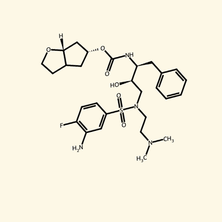 CN(C)CCN(C[C@@H](O)[C@H](Cc1ccccc1)NC(=O)O[C@@H]1CC2CCO[C@@H]2C1)S(=O)(=O)c1ccc(F)c(N)c1